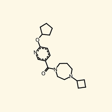 O=C(c1ccc(OC2CCCC2)nc1)N1CCCN(C2CCC2)CC1